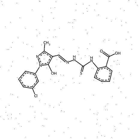 Cc1nn(-c2cccc(Cl)c2)c(O)c1C=NNC(=S)Nc1ccccc1C(=O)O